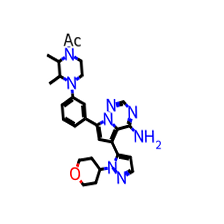 CC(=O)N1CCN(c2cccc(-c3cc(-c4ccnn4C4CCOCC4)c4c(N)ncnn34)c2)C(C)C1C